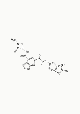 CN1C[C@H](NC(=O)c2cc(C(=O)NCc3ccc4oc(=O)[nH]c4c3)nc3ccnn23)C1=O